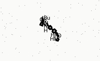 CC(C)(C)OC(=O)N1CCC[C@H]1c1ncc(-c2ccc(-c3ccc(CNC(=O)[C@@H]4CCCN4)cc3)cc2)[nH]1